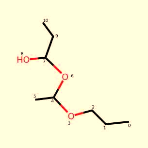 CCCOC(C)OC(O)CC